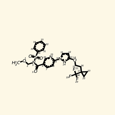 COCN(C(=O)c1ccc(-n2ccc(OCCC3(C(F)(F)F)CC3)n2)nc1)S(=O)(=O)c1ccccc1